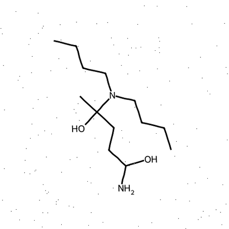 CCCCN(CCCC)C(C)(O)CCC(N)O